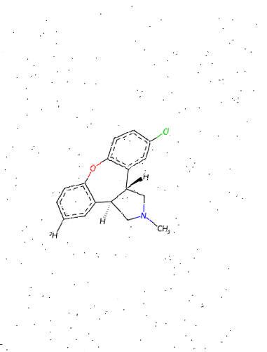 [2H]c1ccc2c(c1)[C@@H]1CN(C)C[C@H]1c1cc(Cl)ccc1O2